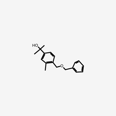 Cc1cc(C(C)(C)O)ccc1COCc1ccccc1